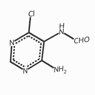 Nc1ncnc(Cl)c1NC=O